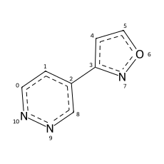 c1cc(-c2ccon2)cnn1